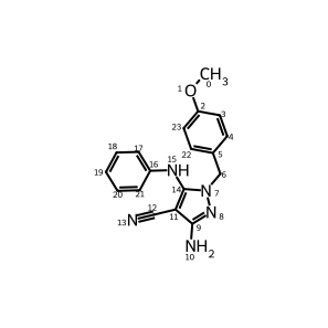 COc1ccc(Cn2nc(N)c(C#N)c2Nc2ccccc2)cc1